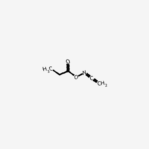 C=C=NOC(=O)CC